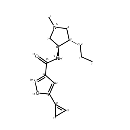 CCC[C@H]1CN(C)C[C@@H]1NC(=O)c1cc(C2=CC2)on1